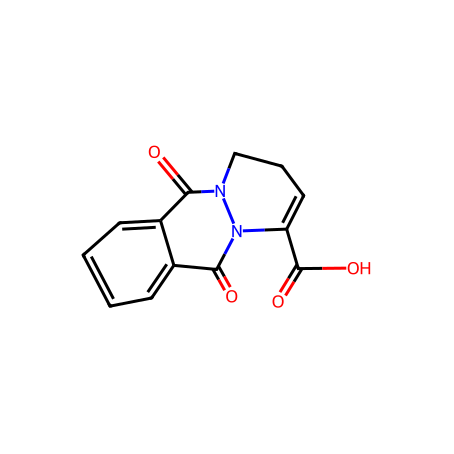 O=C(O)C1=CCCn2c(=O)c3ccccc3c(=O)n21